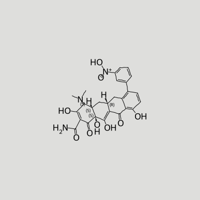 CN(C)[C@@H]1C(O)=C(C(N)=O)C(=O)[C@@]2(O)C(O)=C3C(=O)c4c(O)ccc(-c5cccc([N+](=O)O)c5)c4C[C@H]3C[C@@H]12